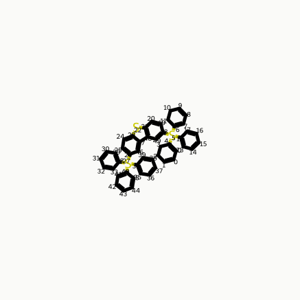 C1=CCCC(S(C2=CC=CCC2)(c2ccccc2)c2ccc3sc4ccc(S(c5ccccc5)(c5ccccc5)c5ccccc5)cc4c3c2)=C1